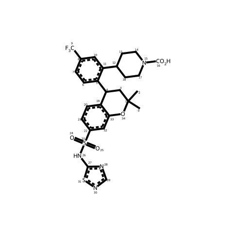 CC1(C)CC(c2ccc(C(F)(F)F)cc2C2CCN(C(=O)O)CC2)c2ccc(S(=O)(=O)Nc3ncns3)cc2O1